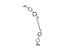 CCCC1CCC(c2ccc(OCCCCCCCOc3ccc(C4CCC(CCC)CC4)cc3)cc2)CC1